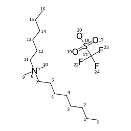 CCCCCCCC[N+](C)(C)CCCCCC.O=S(=O)([O-])C(F)(F)F